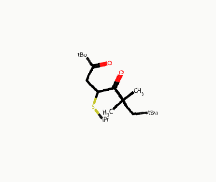 CC(C)SC(CC(=O)C(C)(C)C)C(=O)C(C)(C)CC(C)(C)C